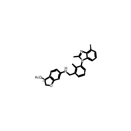 CC(=O)O[C@@H]1COc2cc(NCc3cccc(-n4c(C)nc5c(C)cccc54)c3C)ccc21